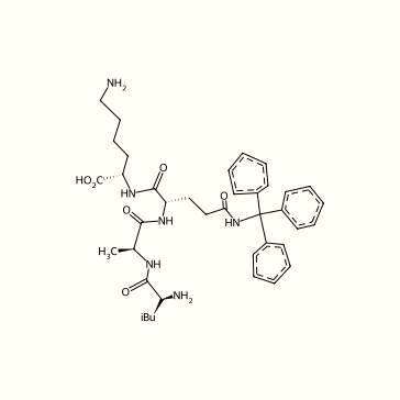 CC[C@H](C)[C@H](N)C(=O)N[C@@H](C)C(=O)N[C@@H](CCC(=O)NC(c1ccccc1)(c1ccccc1)c1ccccc1)C(=O)N[C@@H](CCCCN)C(=O)O